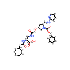 O=C(CO[C@@H]1C[C@@H](CNc2ccccn2)N(C(=O)OCc2ccccc2)C1)NC[C@H](NC(=O)CC1CCCCCC1)C(=O)O